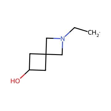 [CH2]CN1CC2(CC(O)C2)C1